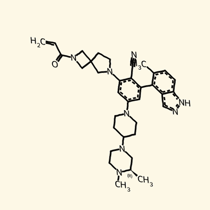 C=CC(=O)N1CC2(CCN(c3cc(N4CCC(N5CCN(C)[C@H](C)C5)CC4)cc(-c4c(C)ccc5[nH]ncc45)c3C#N)C2)C1